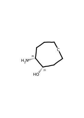 N[C@@H]1CCCCCC[C@@H]1O